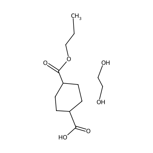 CCCOC(=O)C1CCC(C(=O)O)CC1.OCCO